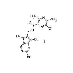 CCn1c(COC(=O)c2nc(Cl)c(N)nc2N)[n+](CC)c2ccc(Br)cc21.[I-]